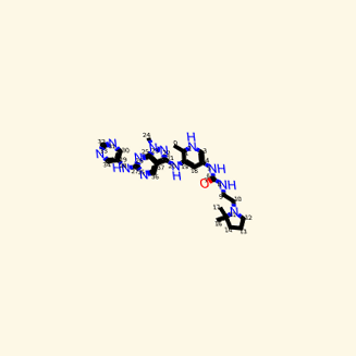 CC1NC=C(NC(=O)NCCN2CCCC2(C)C)C=C1Nc1nn(C)c2nc(Nc3cncnc3)ncc12